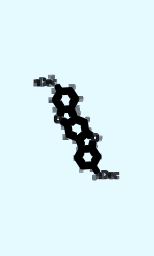 CCCCCCCCCCc1ccc2c(c1)oc1cc3c(cc12)oc1cc(CCCCCCCCCC)ccc13